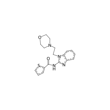 O=C(Nc1nc2ccccc2n1CCN1CCOCC1)c1cccs1